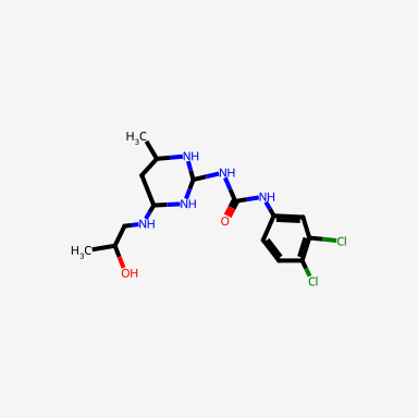 CC(O)CNC1CC(C)NC(NC(=O)Nc2ccc(Cl)c(Cl)c2)N1